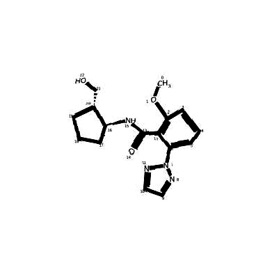 COc1cccc(-n2nccn2)c1C(=O)N[C@H]1CCC[C@@H]1CO